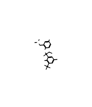 CCC(C)(Pc1ccc(F)cc1CN(C)C)c1cc(C)cc(C(C)(C)C)c1O